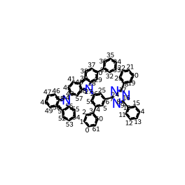 c1ccc(-c2cc(-c3nc(-c4ccccc4)nc(-c4ccccc4)n3)cc(-n3c4cc(-c5ccccc5)ccc4c4ccc(-n5c6ccccc6c6ccccc65)cc43)c2)cc1